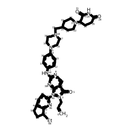 C=CCn1c(=O)c2cnc(Nc3ccc(N4CCN(CC5CCN(C6CCC(=O)NC6=O)CC5)CC4)cc3)nc2n1-c1ccc2c(n1)C(CC)CC2